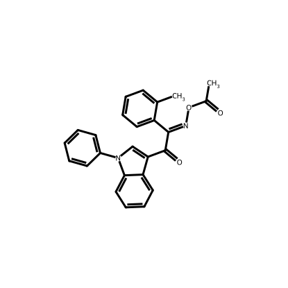 CC(=O)O/N=C(/C(=O)c1cn(-c2ccccc2)c2ccccc12)c1ccccc1C